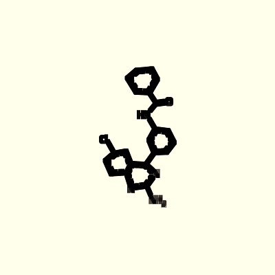 Nc1nc(-c2cccc(NC(=O)c3ccccc3)c2)c2cc(Cl)ccc2n1